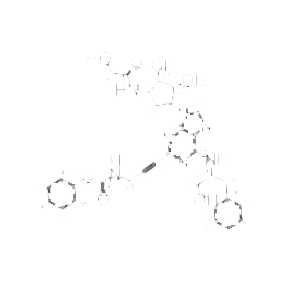 O=C(CO)N[C@H]1C[C@@H](n2cnc3c(N[C@H](CO)Cc4ccccc4)nc(C#CCNC(=O)Oc4ccccc4)nc32)[C@H](O)[C@@H]1O